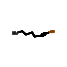 CC(C)(C)CCCCC#CS